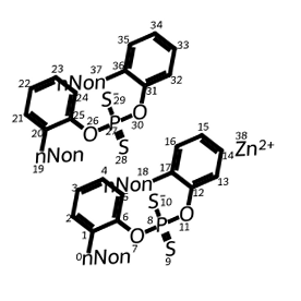 CCCCCCCCCc1ccccc1OP(=S)([S-])Oc1ccccc1CCCCCCCCC.CCCCCCCCCc1ccccc1OP(=S)([S-])Oc1ccccc1CCCCCCCCC.[Zn+2]